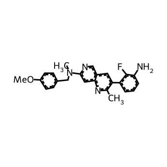 COc1ccc(CN(C)c2cc3nc(C)c(-c4cccc(N)c4F)cc3cn2)cc1